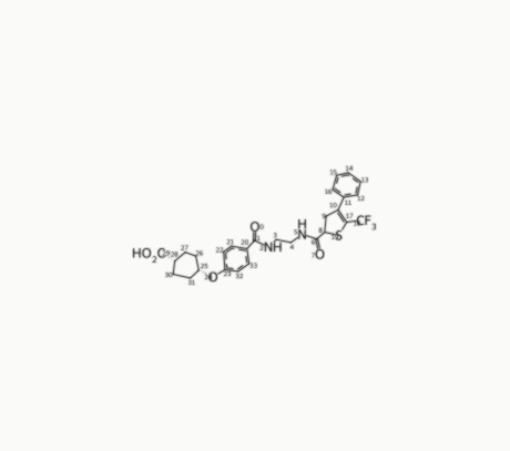 O=C(NCCNC(=O)C1CC(c2ccccc2)=C(C(F)(F)F)S1)c1ccc(O[C@H]2CC[C@@H](C(=O)O)CC2)cc1